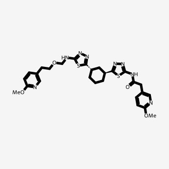 COc1ccc(CCOCNc2nnc([C@H]3CCC[C@H](c4nnc(NC(=O)Cc5ccc(OC)nc5)s4)C3)s2)cn1